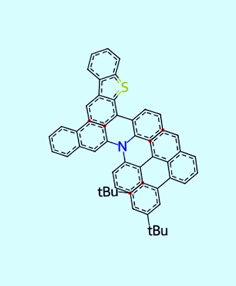 CC(C)(C)c1cc(-c2cccc3cccc(-c4ccccc4N(c4ccc5ccccc5c4)c4ccccc4-c4cccc5c4sc4ccccc45)c23)cc(C(C)(C)C)c1